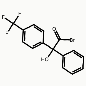 O=C(Br)C(O)(c1ccccc1)c1ccc(C(F)(F)F)cc1